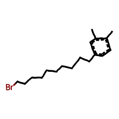 Cc1ccc(CCCCCCCCCCBr)cc1C